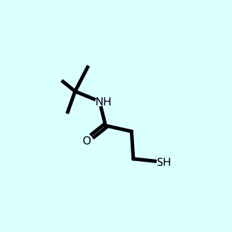 CC(C)(C)NC(=O)CCS